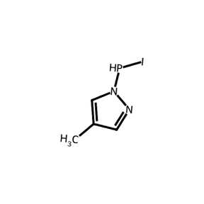 Cc1cnn(PI)c1